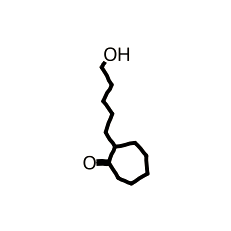 O=C1CCCCCC1CCCCCO